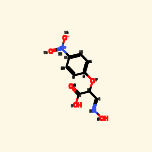 O=C(O)C(C=NO)Oc1ccc([N+](=O)[O-])cc1